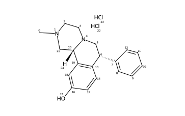 CN1CCN2C[C@H](c3ccccc3)c3ccc(O)cc3[C@@H]2C1.Cl.Cl